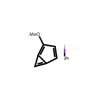 CC(C)I.COc1ccc2cc1-2